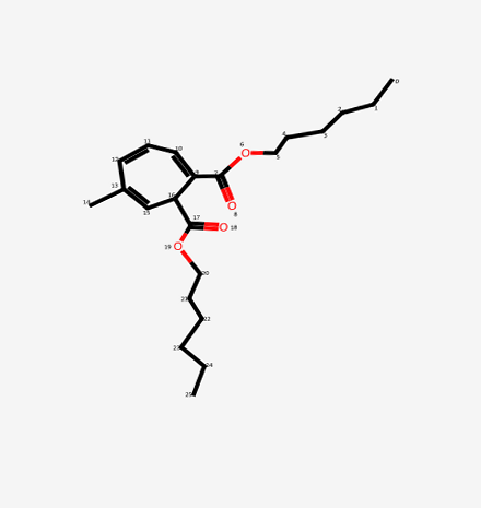 CCCCCCOC(=O)C1=CC=CC(C)=CC1C(=O)OCCCCCC